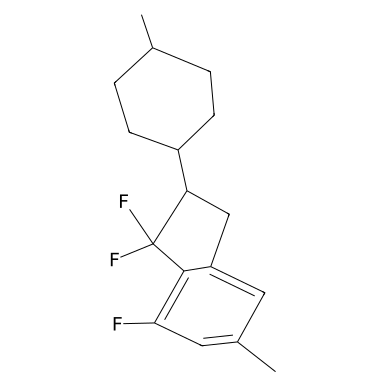 Cc1cc(F)c2c(c1)CC(C1CCC(C)CC1)C2(F)F